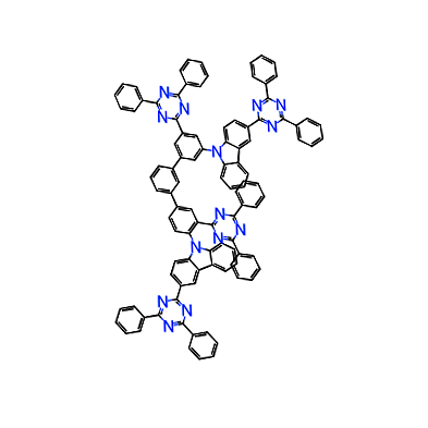 c1ccc(-c2nc(-c3ccccc3)nc(-c3cc(-c4cccc(-c5ccc(-n6c7ccccc7c7cc(-c8nc(-c9ccccc9)nc(-c9ccccc9)n8)ccc76)c(-c6nc(-c7ccccc7)nc(-c7ccccc7)n6)c5)c4)cc(-n4c5ccccc5c5cc(-c6nc(-c7ccccc7)nc(-c7ccccc7)n6)ccc54)c3)n2)cc1